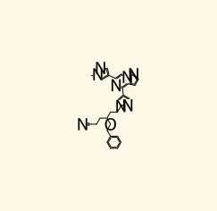 Cn1cc(-c2cn3nccc3c(-c3cnn(CCC(CCC#N)OCc4ccccc4)c3)n2)cn1